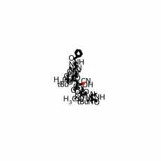 CC(C)(C)[Si](C)(C)O[C@@H]1C(COP(=O)(OCCC#N)O[C@@H]2C(CO)OC(n3cnc4c(=O)[nH]cnc43)[C@@H]2O[Si](C)(C)C(C)(C)C)OC(n2cnc3c(NC(=O)c4ccccc4)ncnc32)[C@@H]1[PH](=O)O